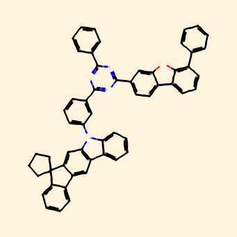 c1ccc(-c2nc(-c3cccc(-n4c5ccccc5c5cc6c(cc54)C4(CCCC4)c4ccccc4-6)c3)nc(-c3ccc4c(c3)oc3c(-c5ccccc5)cccc34)n2)cc1